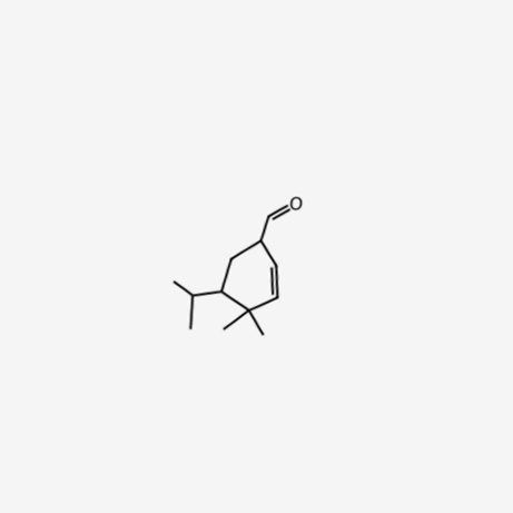 CC(C)C1CC(C=O)C=CC1(C)C